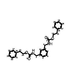 O=C(NCc1cccc(CNC(=O)OCCc2ccccc2)c1)OCCc1ccccc1